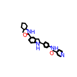 CC1CCCCC1NC(=O)c1ccc2c(c1)CC(c1ccc(NC(=O)c3ccncc3)cc1)N2